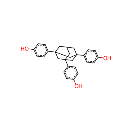 Oc1ccc(C23CC4CC(c5ccc(O)cc5)(C2)CC(c2ccc(O)cc2)(C4)C3)cc1